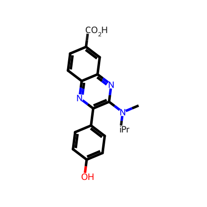 CC(C)N(C)c1nc2cc(C(=O)O)ccc2nc1-c1ccc(O)cc1